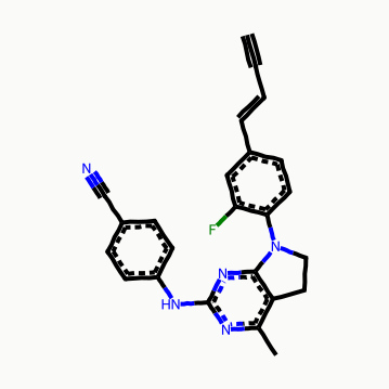 C#C/C=C/c1ccc(N2CCc3c(C)nc(Nc4ccc(C#N)cc4)nc32)c(F)c1